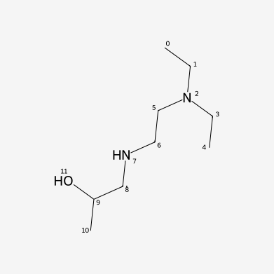 CCN(CC)CCN[CH]C(C)O